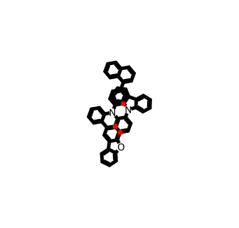 c1ccc(N(c2ccc(-c3cccc4ccccc34)cc2)c2ccccc2-n2c3ccccc3c3ccccc32)c(-c2ccc3oc4ccccc4c3c2)c1